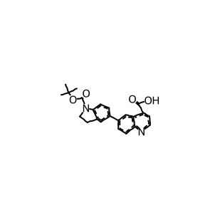 CC(C)(C)OC(=O)N1CCc2cc(-c3ccc4nccc(C(=O)O)c4c3)ccc21